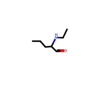 CCCC(C=O)NCC